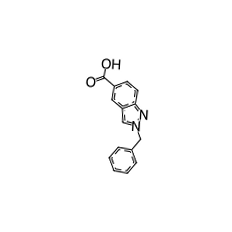 O=C(O)c1ccc2nn(Cc3ccccc3)cc2c1